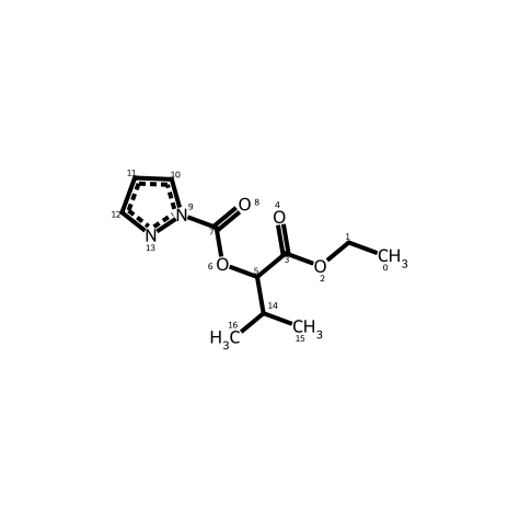 CCOC(=O)C(OC(=O)n1cccn1)C(C)C